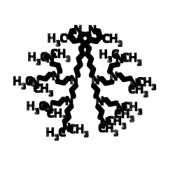 Cc1cnc2c(c1)C(CCCCCCN(CCCN(CCCCN(C)C)CCCN(C)C)CCCN(CCCN(C)C)CCCN(C)C)(CCCCCCN(CCCN(CCCN(C)C)CCCN(C)C)CCCN(CCCN(C)C)CCCN(C)C)c1cc(C)cnc1-2